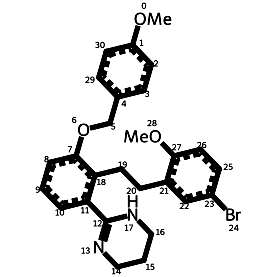 COc1ccc(COc2cccc(C3=NCCCN3)c2CCc2cc(Br)ccc2OC)cc1